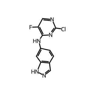 Fc1cnc(Cl)nc1Nc1ccc2cn[nH]c2c1